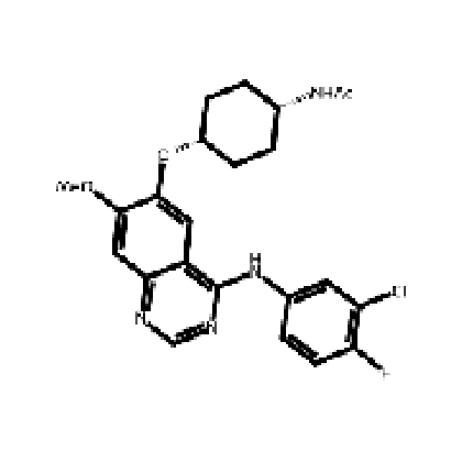 COc1cc2ncnc(Nc3ccc(F)c(Cl)c3)c2cc1O[C@H]1CC[C@@H](NC(C)=O)CC1